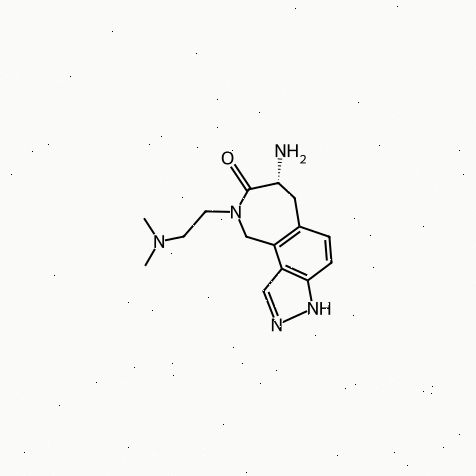 CN(C)CCN1Cc2c(ccc3[nH]ncc23)C[C@@H](N)C1=O